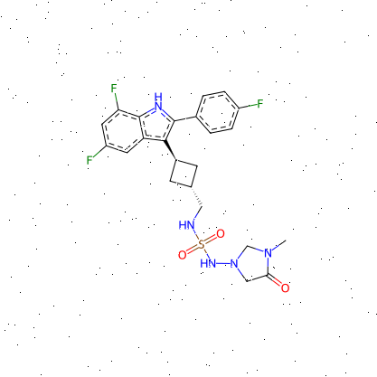 CN1CN(NS(=O)(=O)NC[C@H]2C[C@H](c3c(-c4ccc(F)cc4)[nH]c4c(F)cc(F)cc43)C2)CC1=O